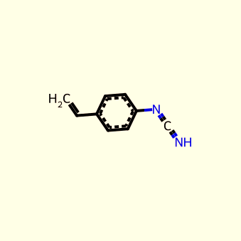 C=Cc1ccc(N=C=N)cc1